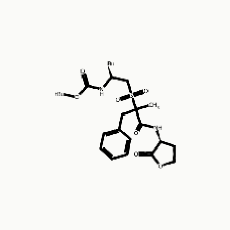 CC[C@H](C)C(CS(=O)(=O)C(C)(Cc1ccccc1)C(=O)N[C@H]1CCOC1=O)NC(=O)OC(C)(C)C